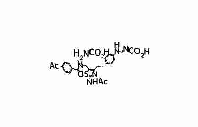 CC(=O)Nc1nc(CCc2ccc(NC=NC(=O)O)cc2)c(CN(C)C(=O)c2ccc(C(C)=O)cc2)s1.NC(=O)O